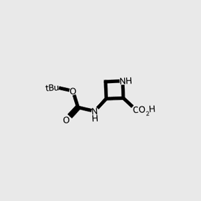 CC(C)(C)OC(=O)NC1CNC1C(=O)O